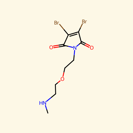 CNCCOCCN1C(=O)C(Br)=C(Br)C1=O